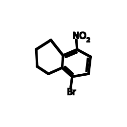 O=[N+]([O-])c1ccc(Br)c2c1CCCC2